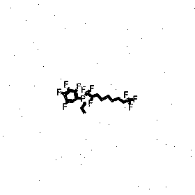 CCCP(c1cc(F)c(F)c(F)c1F)C(F)(F)C(F)CCCCCCC(F)(F)F